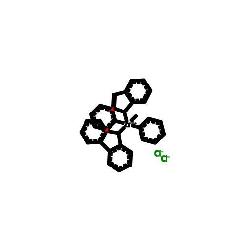 [CH3][Zr+2]([c]1ccccc1)([c]1ccccc1)([CH]1C=Cc2ccccc21)[CH]1c2ccccc2-c2ccccc21.[Cl-].[Cl-]